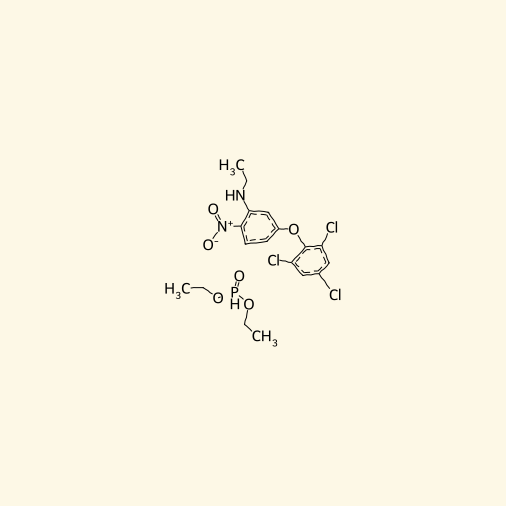 CCNc1cc(Oc2c(Cl)cc(Cl)cc2Cl)ccc1[N+](=O)[O-].CCO[PH](=O)OCC